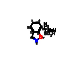 CS(=O)(=O)O.[NaH].c1ccc2oncc2c1